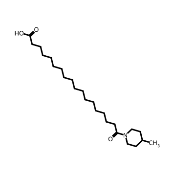 CC1CCN(C(=O)CCCCCCCCCCCCCCCCC(=O)O)CC1